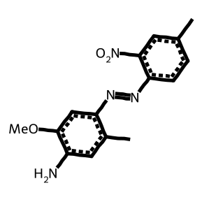 COc1cc(N=Nc2ccc(C)cc2[N+](=O)[O-])c(C)cc1N